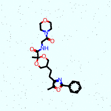 Cc1oc(-c2ccccc2)nc1CCC1COC(C)(C(=O)NCC(=O)N2CCOCC2)OC1